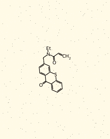 C=CC(=O)N(CC)Cc1ccc2c(=O)c3ccccc3sc2c1